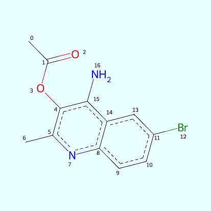 CC(=O)Oc1c(C)nc2ccc(Br)cc2c1N